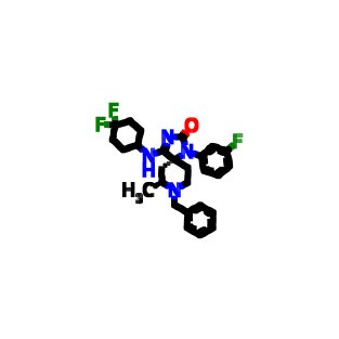 C[C@H]1C[C@]2(CCN1Cc1ccccc1)C(NC1CCC(F)(F)CC1)=NC(=O)N2c1cccc(F)c1